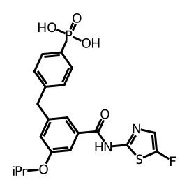 CC(C)Oc1cc(Cc2ccc(P(=O)(O)O)cc2)cc(C(=O)Nc2ncc(F)s2)c1